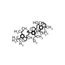 CCC(C)c1cc(C(C)(C)C)c2c(c1)C(C)(CCC1(c3cc(C(C)C)cc4c3OCCC4(C)CCC(C)(O)c3cc(C(C)C)cc4c3OCCC4(C)C)CC1)CCO2